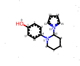 Oc1ccc(N2CCCCC2n2cccc2)cc1